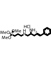 CO[Si](CCCNCC(N)CC=Cc1ccccc1)(OC)OC.Cl